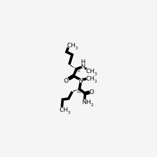 CCCC[C@H](NC)C(=O)N(C)[C@@H](CCCC)C(N)=O